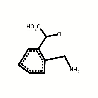 NCc1ccccc1C(Cl)C(=O)O